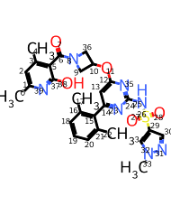 Cc1cc(C)c(C(=O)N2CC(Oc3cc(-c4c(C)cccc4C)nc(NS(=O)(=O)c4cnn(C)c4)n3)C2)c(O)n1